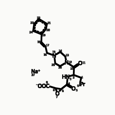 CC(C)CC(NC(=O)C1OC1C(=O)[O-])C(=O)N1CCN(C/C=C/c2ccccc2)CC1.[Na+]